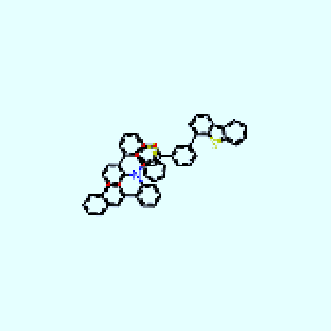 c1cc(-c2cccc(N(c3ccccc3-c3ccc4ccccc4c3)c3ccccc3-c3cccc4sc5ccccc5c34)c2)cc(-c2cccc3c2sc2ccccc23)c1